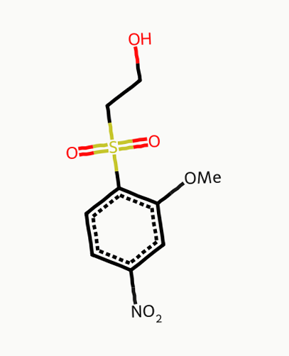 COc1cc([N+](=O)[O-])ccc1S(=O)(=O)CCO